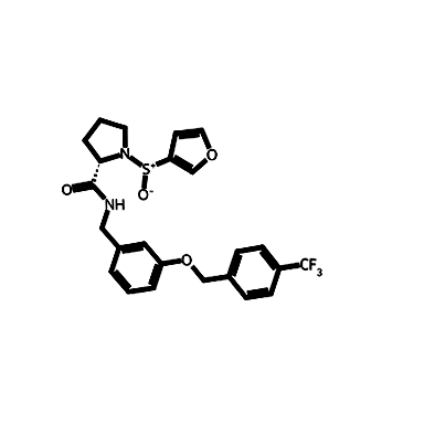 O=C(NCc1cccc(OCc2ccc(C(F)(F)F)cc2)c1)[C@@H]1CCCN1[S+]([O-])c1ccoc1